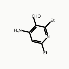 CCc1cc(N)c(C=O)c(CC)n1